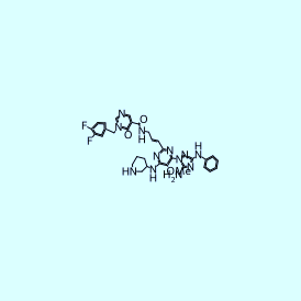 COc1c(NC2CCCNC2)nc(/C=C/CNC(=O)c2cncn(Cc3ccc(F)c(F)c3)c2=O)nc1-n1nc(Nc2ccccc2)nc1N